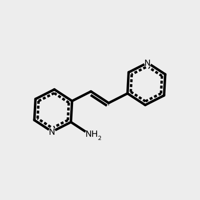 Nc1ncccc1C=[C]c1cccnc1